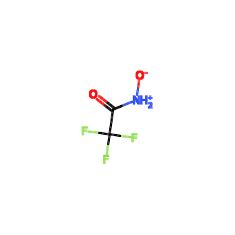 O=C([NH2+][O-])C(F)(F)F